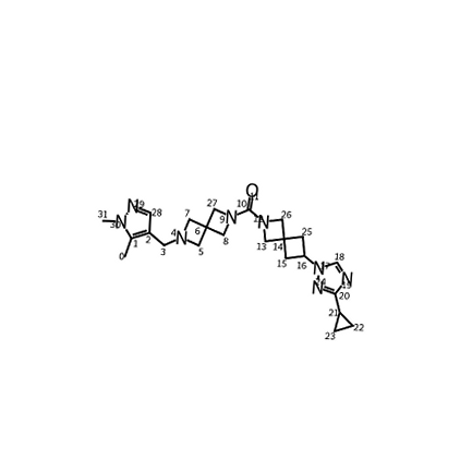 Cc1c(CN2CC3(C2)CN(C(=O)N2CC4(CC(n5cnc(C6CC6)n5)C4)C2)C3)cnn1C